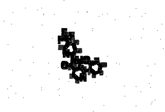 O=C1c2ccnc(-c3ccccc3O)c2CN1c1ccc(C(F)(F)F)cn1